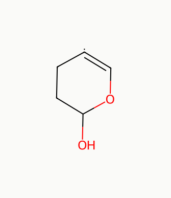 OC1CC[C]=CO1